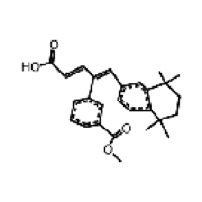 COC(=O)c1cccc(C(=C\c2ccc3c(c2)C(C)(C)CCC3(C)C)/C=C/C(=O)O)c1